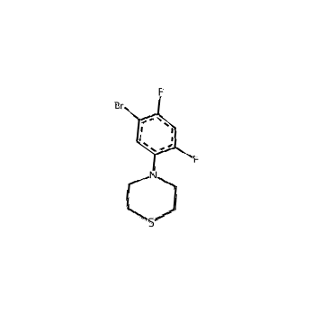 Fc1cc(F)c(N2CCSCC2)cc1Br